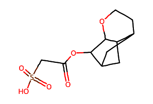 O=C(CS(=O)(=O)O)OC1C2CC3CCOC1C3C2